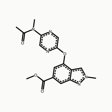 COC(=O)c1cc(Oc2cnc(N(C)C(C)=O)cn2)c2cn(C)nc2c1